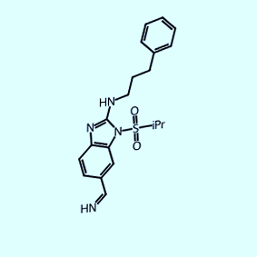 CC(C)S(=O)(=O)n1c(NCCCc2ccccc2)nc2ccc(C=N)cc21